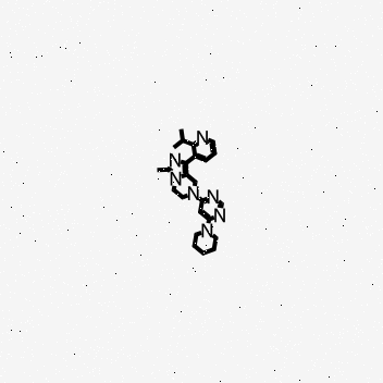 Cc1nc(-c2cccnc2C(C)C)c2n1CCN(c1cc(N3CCCCC3)ncn1)C2